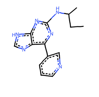 CCC(C)Nc1nc(-c2cccnc2)c2nc[nH]c2n1